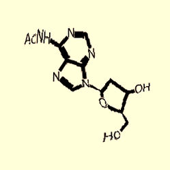 CC(=O)Nc1ncnc2c1ncn2[C@H]1CC(O)[C@@H](CO)O1